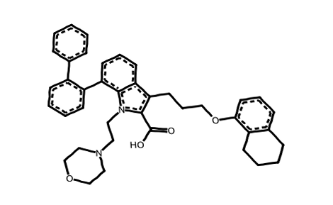 O=C(O)c1c(CCCOc2cccc3c2CCCC3)c2cccc(-c3ccccc3-c3ccccc3)c2n1CCN1CCOCC1